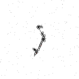 CC[C@@H](C(C)OC(=O)OCOC(=O)CCCCCCOP(=O)(O)O)n1ncn(-c2ccc(N3CCN(c4ccc(OC[C@@H]5CO[C@@](Cn6cncn6)(c6ccc(F)cc6F)C5)cc4)CC3)cc2)c1=O